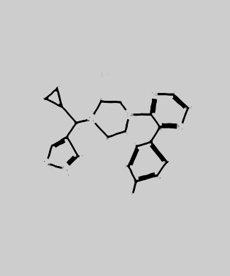 Cl.Fc1ccc(-c2nccnc2N2CCN(C(c3cn[nH]c3)C3CC3)CC2)cc1